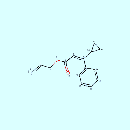 C=CCOC(=O)/C=C(\c1ccccc1)C1CC1